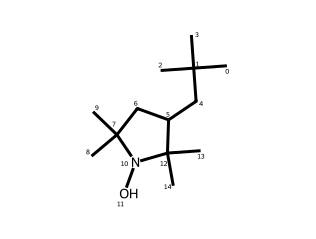 CC(C)(C)CC1CC(C)(C)N(O)C1(C)C